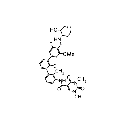 COc1cc(-c2cccc(-c3cccc(NC(=O)c4cn(C)c(=O)n(C)c4=O)c3C)c2Cl)cc(F)c1CN[C@H]1CCOC[C@H]1O